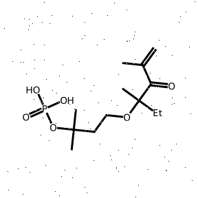 C=C(C)C(=O)C(C)(CC)OCCC(C)(C)OP(=O)(O)O